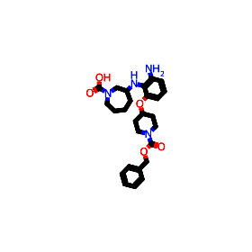 Nc1cccc(OC2CCN(C(=O)OCc3ccccc3)CC2)c1NC1CCCCN(C(=O)O)C1